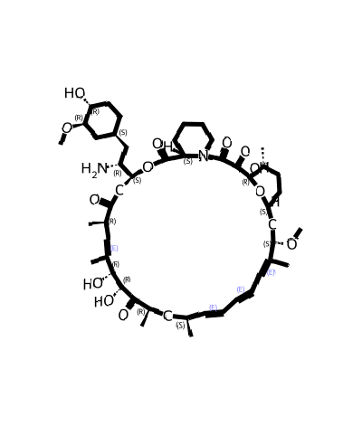 CO[C@H]1C[C@@H]2CC[C@@H](C)[C@@](O)(O2)C(=O)C(=O)N2CCCC[C@H]2C(=O)O[C@H]([C@H](N)C[C@@H]2CC[C@@H](O)[C@H](OC)C2)CC(=O)[C@H](C)/C=C(\C)[C@@H](O)[C@@H](O)C(=O)[C@H](C)C[C@H](C)/C=C/C=C/C=C/1C